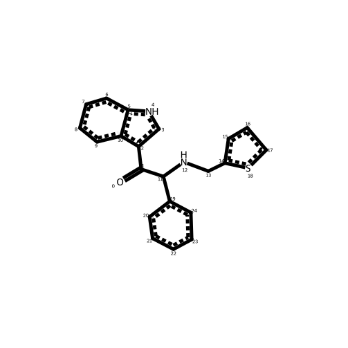 O=C(c1c[nH]c2ccccc12)C(NCc1cccs1)c1ccccc1